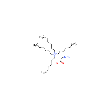 CCCCCC[N+](CCCCCC)(CCCCCC)CCCCCC.NCC(=O)[O-]